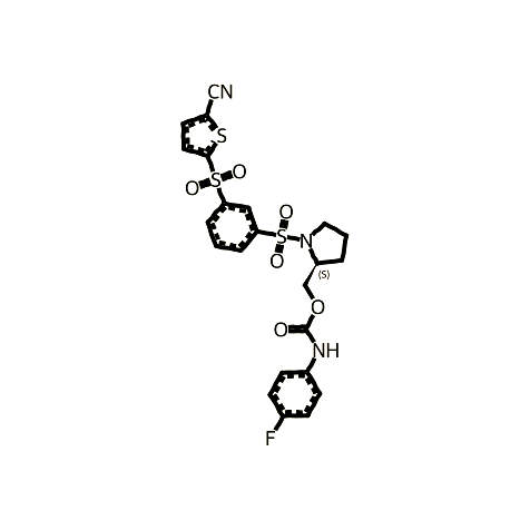 N#Cc1ccc(S(=O)(=O)c2cccc(S(=O)(=O)N3CCC[C@H]3COC(=O)Nc3ccc(F)cc3)c2)s1